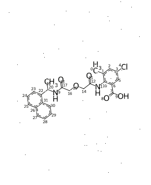 Cc1cc(Cl)cc(C(=O)O)c1NC(=O)COCC(=O)NC(C)c1cccc2ccccc12